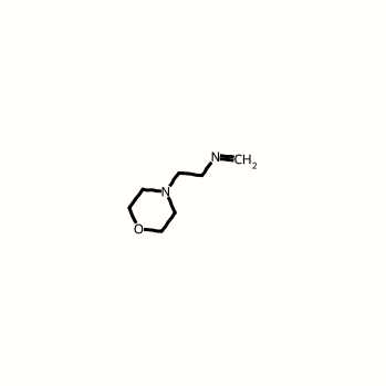 C=NCCN1CCOCC1